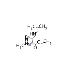 CCOC(=O)/C(=N/NC)C(Br)CNCC(C)C